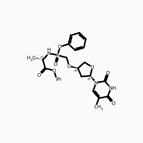 Cc1cn([C@H]2C[C@@H](OCP(=O)(N[C@@H](C)C(=O)OC(C)C)Oc3ccccc3)CO2)c(=O)[nH]c1=O